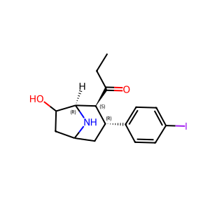 CCC(=O)[C@H]1[C@H](c2ccc(I)cc2)CC2CC(O)[C@@H]1N2